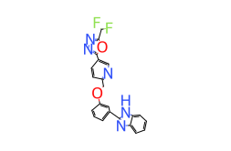 FC(F)c1nnc(-c2ccc(COc3cccc(-c4nc5ccccc5[nH]4)c3)nc2)o1